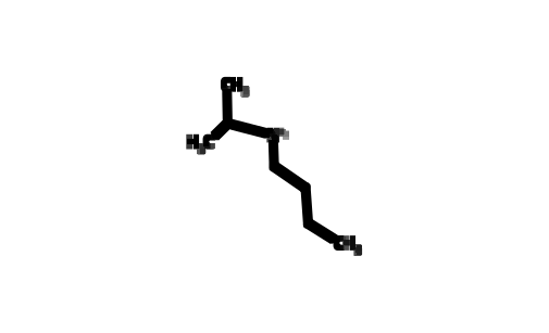 CCCC[N+]C(C)C